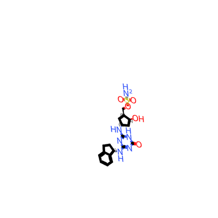 NS(=O)(=O)OC[C@@H]1C[C@@H](Nc2nc(N[C@H]3CCc4ccccc43)nc(=O)[nH]2)C[C@@H]1O